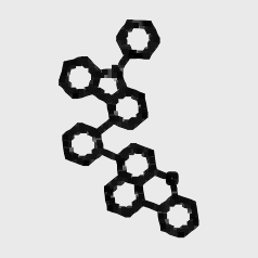 c1ccc(-n2c3ccccc3c3c(-c4ccccc4-c4ccc5c6c(cccc46)-c4ccccc4O5)cccc32)cc1